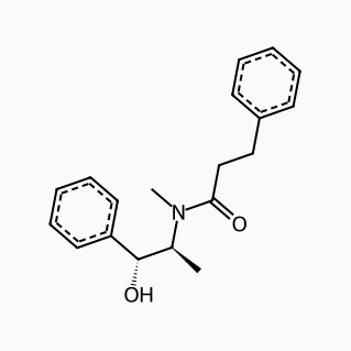 C[C@@H]([C@H](O)c1ccccc1)N(C)C(=O)CCc1ccccc1